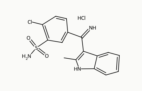 Cc1[nH]c2ccccc2c1C(=N)c1ccc(Cl)c(S(N)(=O)=O)c1.Cl